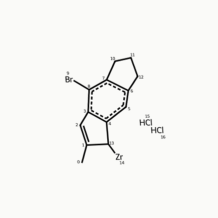 CC1=Cc2c(cc3c(c2Br)CCC3)[CH]1[Zr].Cl.Cl